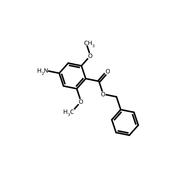 COc1cc(N)cc(OC)c1C(=O)OCc1ccccc1